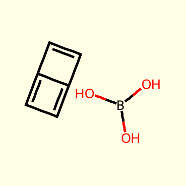 OB(O)O.c1cc2ccc1-2